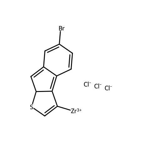 Brc1ccc2c(c1)=CC1SC=[C]([Zr+3])C=21.[Cl-].[Cl-].[Cl-]